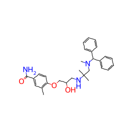 Cc1cc(C(N)=O)ccc1OCC(O)CNC(C)(C)CN(C)C(c1ccccc1)c1ccccc1